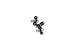 O=C(Nc1cccc(-c2cc(N3CCOCC3)n3nc(C(=O)NC4COC4)cc3n2)c1)c1ccccc1